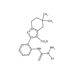 CCN(N)C(=O)Nc1ccccc1-c1sc2c(c1C(=O)O)CC(C)(C)CC2